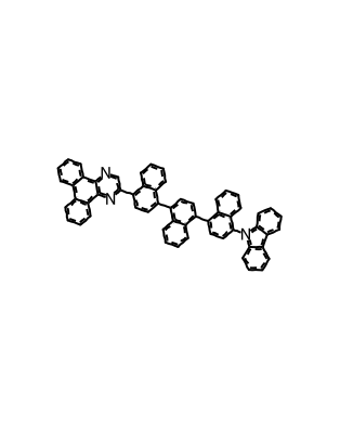 c1ccc2c(-c3ccc(-c4ccc(-n5c6ccccc6c6ccccc65)c5ccccc45)c4ccccc34)ccc(-c3cnc4c5ccccc5c5ccccc5c4n3)c2c1